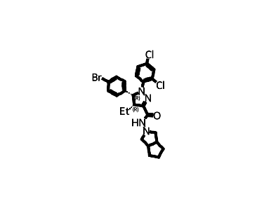 CC[C@H]1C(C(=O)NN2CC3CCCC3C2)=NN(c2ccc(Cl)cc2Cl)[C@H]1c1ccc(Br)cc1